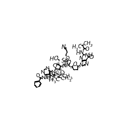 CC(C)C(=O)Nc1nc2c(ncn2[C@H]2CC[C@@H](COP(=S)(N[C@H]3[C@@H](O[Si](C)(C)C(C)(C)C)[C@H](n4cnc5c(NC(=O)c6ccccc6)ncnc54)O[C@@H]3CO)OCCC#N)O2)c(=O)[nH]1